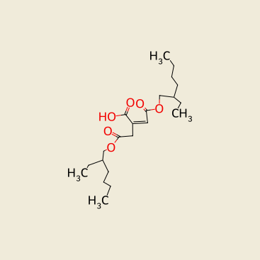 CCCCC(CC)COC(=O)C=C(CC(=O)OCC(CC)CCCC)C(=O)O